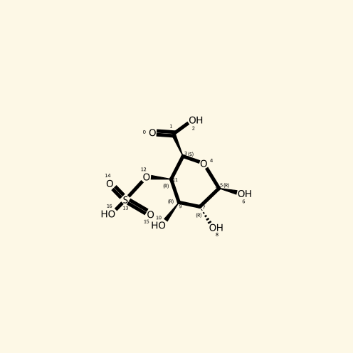 O=C(O)[C@H]1O[C@@H](O)[C@H](O)[C@@H](O)[C@H]1OS(=O)(=O)O